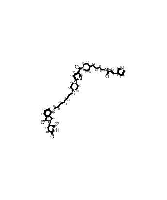 O=C(/C=C/c1cccnc1)NCCCCC1CCN(C(=O)c2ccc(N3CCN(CCCCCCCCOc4cccc5c4CN(C4CCC(=O)NC4=O)C5=O)CC3)nn2)CC1